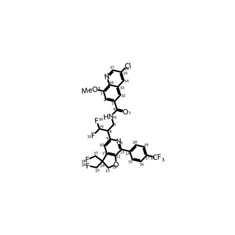 COc1cc(C(=O)NCC(c2cc3c(c(-c4ccc(C(F)(F)F)cc4)n2)OCC3(CF)CF)C(F)F)cc2cc(Cl)cnc12